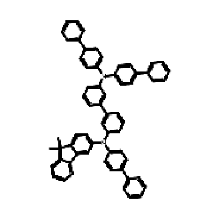 CC1(C)c2ccccc2-c2cc(N(c3ccc(-c4ccccc4)cc3)c3cccc(-c4cccc(N(c5ccc(-c6ccccc6)cc5)c5ccc(-c6ccccc6)cc5)c4)c3)ccc21